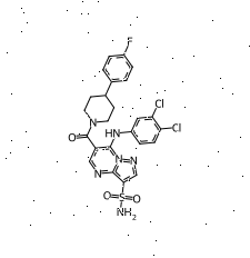 NS(=O)(=O)c1cnn2c(Nc3ccc(Cl)c(Cl)c3)c(C(=O)N3CCC(c4ccc(F)cc4)CC3)cnc12